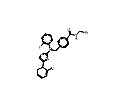 CC(C)CNC(=O)c1ccc(CN(c2nc(C3CC=CC=C3Cl)cs2)c2ccccc2F)cc1